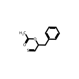 CC(=O)OC([C]=S)Cc1ccccc1